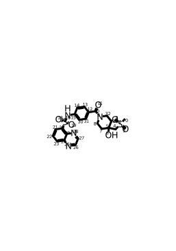 CS(=O)(=O)CC1(O)CCN(C(=O)c2ccc(NS(=O)(=O)c3cccc4nccnc34)cc2)CC1